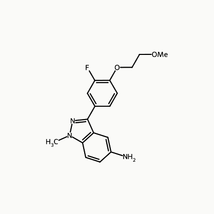 COCCOc1ccc(-c2nn(C)c3ccc(N)cc23)cc1F